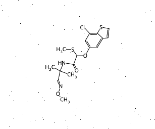 CON=CC(C)(C)NC(=O)C(Oc1cc(Cl)c2sccc2c1)SC